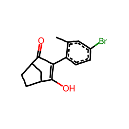 Cc1cc(Br)ccc1C1=C(O)C2CCC(C2)C1=O